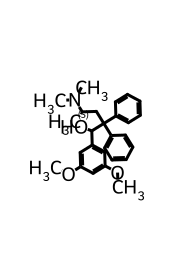 COc1cc(OC)cc(C(O)C(C[C@H](C)N(C)C)(c2ccccc2)c2ccccc2)c1